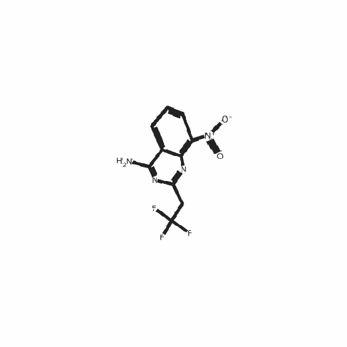 Nc1nc(CC(F)(F)F)nc2c([N+](=O)[O-])cccc12